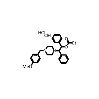 CCC(=O)OC(c1ccccc1)C(c1ccccc1)N1CCN(Cc2ccc(OC)cc2)CC1.Cl.Cl